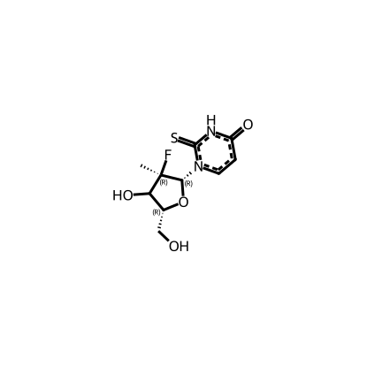 C[C@@]1(F)C(O)[C@@H](CO)O[C@H]1n1ccc(=O)[nH]c1=S